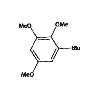 COc1cc(OC)c(OC)c(C(C)(C)C)c1